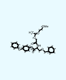 COCCOC(C)OCC(=O)NC(COCc1ccccc1)C(=O)Nc1ccc(Oc2ccccc2)cc1